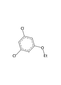 CCOc1[c]c(Cl)cc(Cl)c1